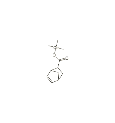 [CH3][Ge]([CH3])([CH3])[O]C(=O)C1CC2C=CC1C2